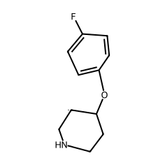 Fc1ccc(OC2[CH]CNCC2)cc1